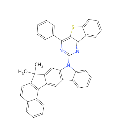 CC1(C)c2cc3c(cc2-c2c1ccc1ccccc21)c1ccccc1n3-c1nc(-c2ccccc2)c2sc3ccccc3c2n1